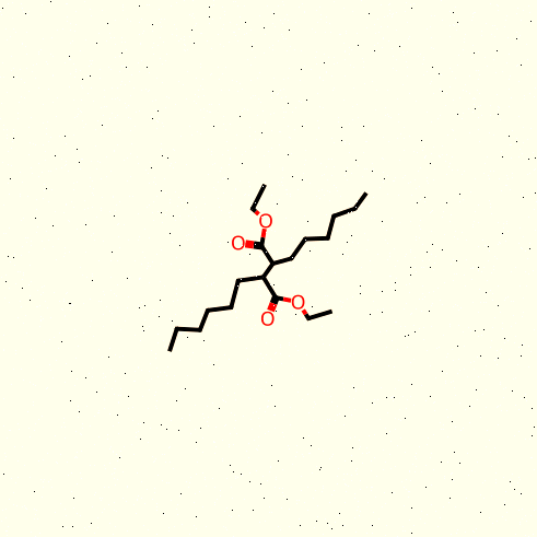 CCCCCCC(C(=O)OCC)C(CCCCCC)C(=O)OCC